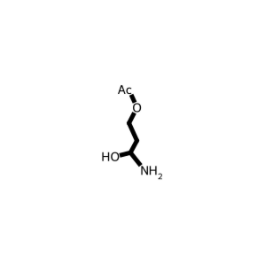 CC(=O)OCCC(N)O